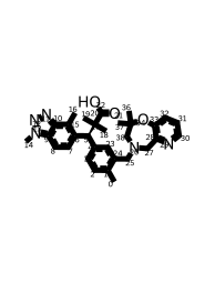 Cc1ccc([C@@H](c2ccc3c(nnn3C)c2C)C(C)(C)C(=O)O)cc1CN1Cc2ncccc2OC(C)(C)C1